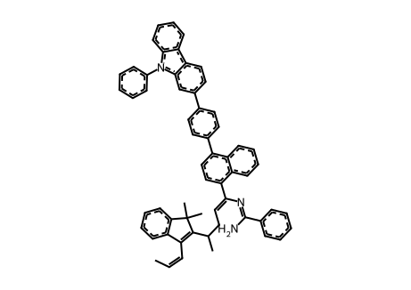 C/C=C\C1=C(C(C)C/C=C(\N=C(/N)c2ccccc2)c2ccc(-c3ccc(-c4ccc5c6ccccc6n(-c6ccccc6)c5c4)cc3)c3ccccc23)C(C)(C)c2ccccc21